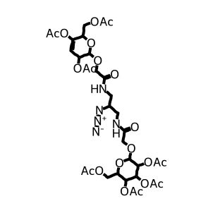 CC(=O)OCC1OC(OCC(=O)NCC(CNC(=O)COC2OC(COC(C)=O)C(OC(C)=O)C(OC(C)=O)C2OC(C)=O)N=[N+]=[N-])C(OC(C)=O)C=C1OC(C)=O